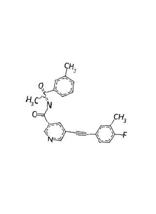 Cc1cccc(S(C)(=O)=NC(=O)c2cncc(C#Cc3ccc(F)c(C)c3)c2)c1